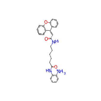 Nc1ccccc1NC(=O)CCCCCNC(=O)C=C1c2ccccc2Oc2ccccc21